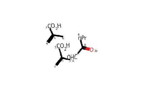 C=C(C)C(=O)O.C=C(C)C(=O)O.CCCC(=O)C=O